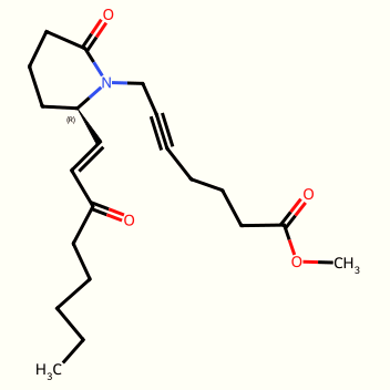 CCCCCC(=O)C=C[C@H]1CCCC(=O)N1CC#CCCCC(=O)OC